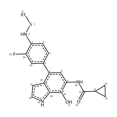 CCSNc1ccc(-c2cc(NC(=O)C3CC3)[n+](O)c3[nH]ccc23)cc1F